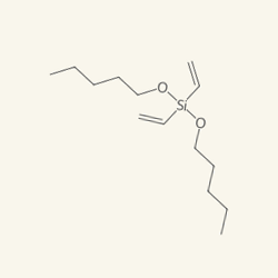 C=C[Si](C=C)(OCCCCC)OCCCCC